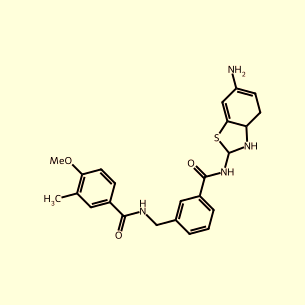 COc1ccc(C(=O)NCc2cccc(C(=O)NC3NC4CC=C(N)C=C4S3)c2)cc1C